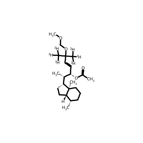 [2H]C([2H])([2H])C(/C=C/[C@H](OC(C)=O)[C@@H](C)[C@H]1CC[C@H]2[C@@H](C)CCC[C@]12C)(OCOC)C([2H])([2H])[2H]